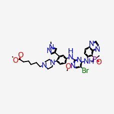 COC(=O)CCCCCN1CCN(c2cc(OC)c(Nc3ncc(Br)c(Nc4ccc5nccnc5c4P(C)(C)=O)n3)cc2-c2cnn(C)c2)CC1